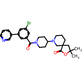 CC1(C)CC2(CCCN(C3CCN(C(=O)c4cc(Br)cc(-c5cccnc5)c4)CC3)C2)C(=O)O1